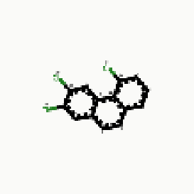 Clc1[c]c2ccc3c[c]cc(Cl)c3c2cc1Cl